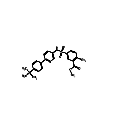 COC(=O)c1cc(S(=O)(=O)Nc2ccc(-c3ccc(C(C)(C)C)cc3)nc2)ccc1C